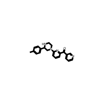 Cc1ccc(C2CN(c3cccc(C(=O)c4cccnc4)n3)CCN2)cc1